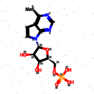 CSc1ncnc2c1ccn2[C@@H]1O[C@H](COP(=O)(O)O)[C@@H](O)[C@H]1O